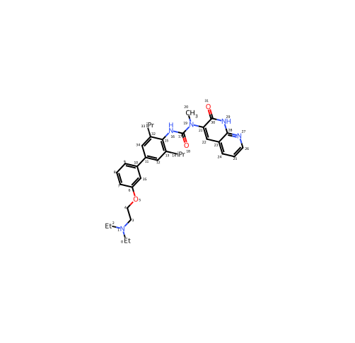 CCN(CC)CCOc1cccc(-c2cc(C(C)C)c(NC(=O)N(C)c3cc4cccnc4[nH]c3=O)c(C(C)C)c2)c1